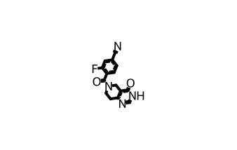 N#Cc1ccc(C(=O)N2CCc3nc[nH]c(=O)c3C2)c(F)c1